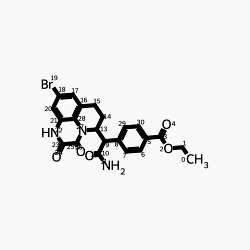 CCOC(=O)c1ccc(C(C(N)=O)C2CCc3cc(Br)cc4[nH]c(=O)c(=O)n2c34)cc1